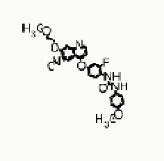 [C-]#[N+]c1cc2c(Oc3ccc(NC(=O)Nc4ccc(OC)cc4)c(F)c3)ccnc2cc1OCCOC